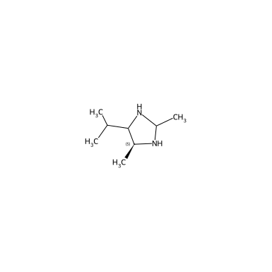 CC1NC(C(C)C)[C@H](C)N1